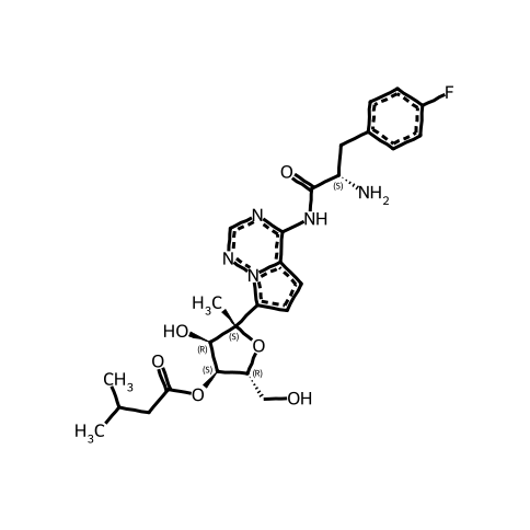 CC(C)CC(=O)O[C@H]1[C@@H](O)[C@](C)(c2ccc3c(NC(=O)[C@@H](N)Cc4ccc(F)cc4)ncnn23)O[C@@H]1CO